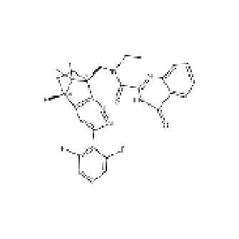 CCN(C[C@@]12CC[C@@H](c3cc(-c4c(F)cccc4F)nnc31)C2(C)C)C(=O)c1nc2ccccc2c(=O)[nH]1